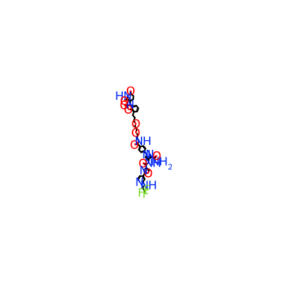 NC(=O)c1nn(-c2ccc(C(=O)NCCOCCOCCCc3cccc4c3oc(=O)n4C3CCC(=O)NC3=O)cc2)cc1NC(=O)c1coc(-c2ccnc(NCC(F)(F)F)c2)n1